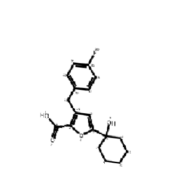 O=C(O)c1oc(C2(O)CCCCC2)cc1Cc1ccc(F)cc1